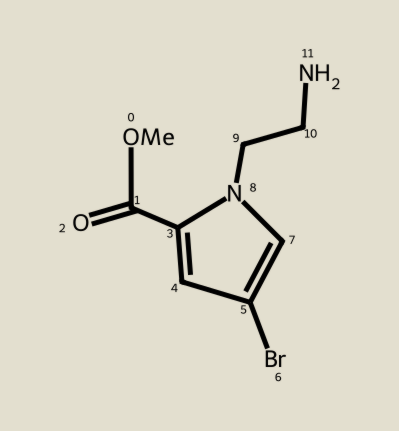 COC(=O)c1cc(Br)cn1CCN